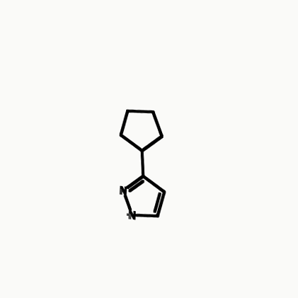 C1=CC(C2CCCC2)=N[N]1